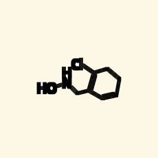 ONCC1=C(Cl)CCC=C1